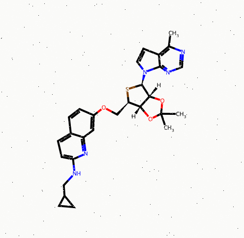 Cc1ncnc2c1ccn2[C@@H]1S[C@H](COc2ccc3ccc(NCC4CC4)nc3c2)[C@H]2OC(C)(C)O[C@H]21